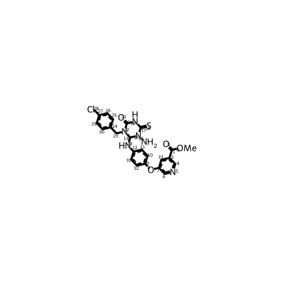 COC(=O)c1cncc(Oc2ccc(NC3N(N)C(=S)NC(=O)N3Cc3ccc(Cl)cc3)cc2)c1